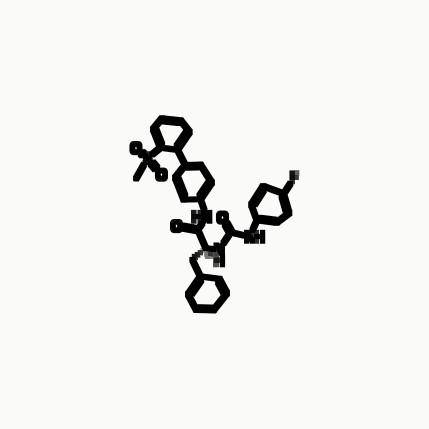 CS(=O)(=O)c1ccccc1-c1ccc(NC(=O)[C@@H](Cc2ccccc2)NC(=O)Nc2ccc(F)cc2)cc1